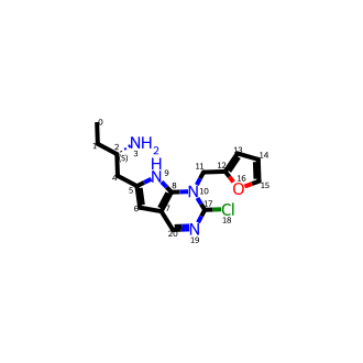 CC[C@H](N)Cc1cc2c([nH]1)N(Cc1ccco1)C(Cl)N=C2